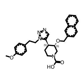 COc1ccc(CCn2nncc2[C@@H]2CCN(C(=O)O)C[C@H]2OCc2ccc3ccccc3c2)cc1